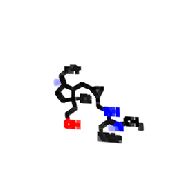 CCC/C=C1/C=CC(CC)(CCO)C1CC1=CC1CN/C(CNC)=N\C